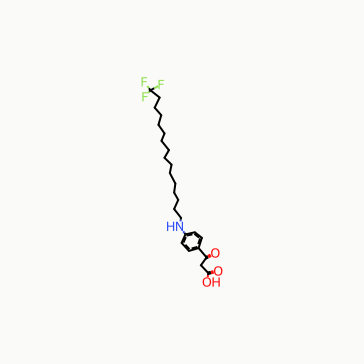 O=C(O)CC(=O)c1ccc(NCCCCCCCCCCCCCCCC(F)(F)F)cc1